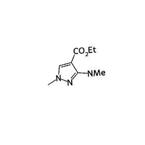 CCOC(=O)c1cn(C)nc1NC